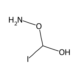 NOC(O)I